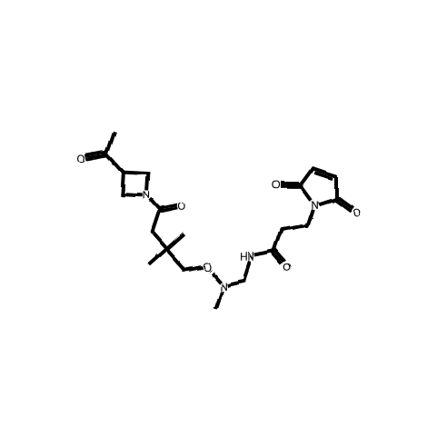 CC(=O)C1CN(C(=O)CC(C)(C)CON(C)CNC(=O)CCN2C(=O)C=CC2=O)C1